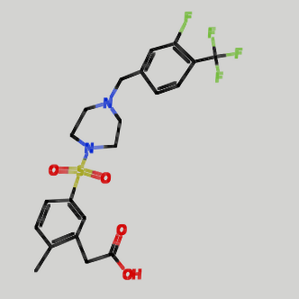 Cc1ccc(S(=O)(=O)N2CCN(Cc3ccc(C(F)(F)F)c(F)c3)CC2)cc1CC(=O)O